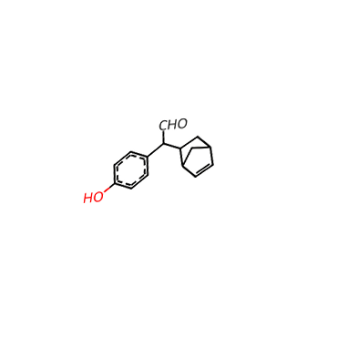 O=CC(c1ccc(O)cc1)C1CC2C=CC1C2